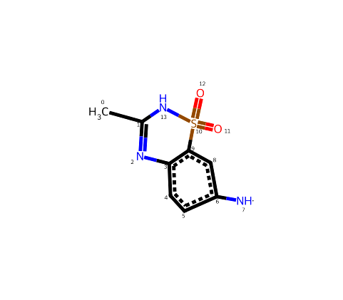 CC1=Nc2ccc([NH])cc2S(=O)(=O)N1